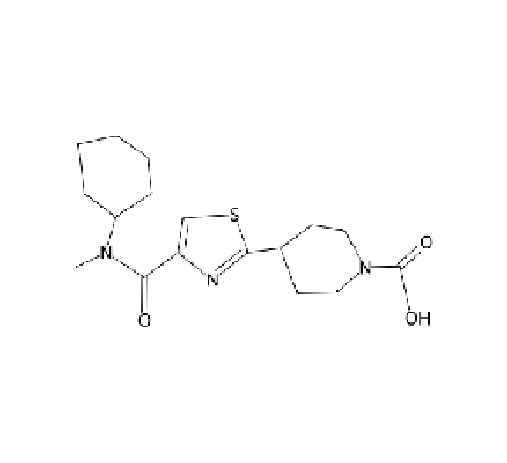 CN(C(=O)c1csc(C2CCN(C(=O)O)CC2)n1)C1CCCCC1